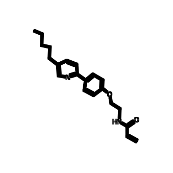 C=CC(=O)NCCOc1ccc(-c2ccc(CCCCC)cn2)cc1